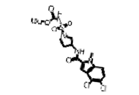 Cn1c(C(=O)NC2CCN(S(=O)(=O)NC(=O)OC(C)(C)C)C2)cc2c(Cl)c(Cl)ccc21